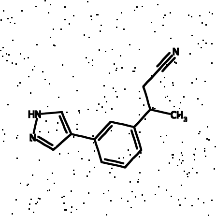 CC(CC#N)c1cccc(-c2cn[nH]c2)c1